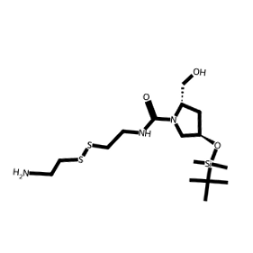 CC(C)(C)[Si](C)(C)O[C@@H]1C[C@@H](CO)N(C(=O)NCCSSCCN)C1